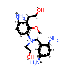 COc1c(N(CCO)Cc2cc(N)ccc2N)ccc(N)c1CCO